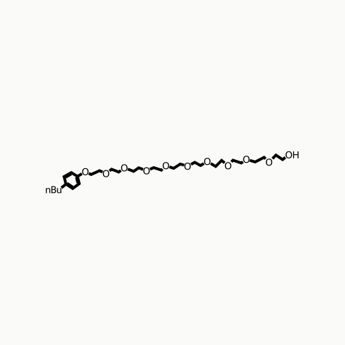 CCCCc1ccc(OCCOCCOCCOCCOCCOCCOCCOCCOCCOCCO)cc1